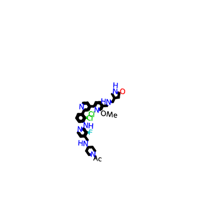 COc1nc(-c2ccnc(-c3cccc(Nc4nccc(CNC5CCN(C(C)=O)CC5)c4F)c3Cl)c2Cl)ccc1CNCC1CNC(=O)C1